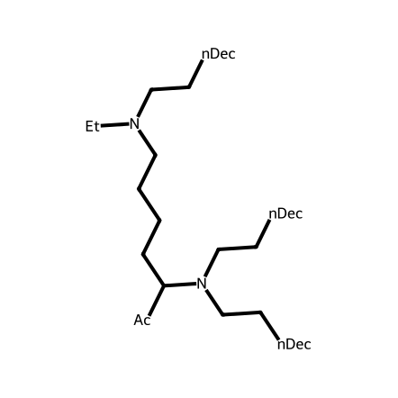 CCCCCCCCCCCCN(CC)CCCCC(C(C)=O)N(CCCCCCCCCCCC)CCCCCCCCCCCC